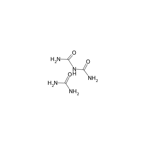 NC(=O)NC(N)=O.NC(N)=O